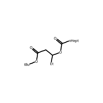 CCCCCCCC(=O)OC(CC)CC(=O)OC(C)(C)C